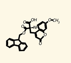 COc1ccc2c(C[C@@](N)(C(=O)O)C(=O)OCC3c4ccccc4-c4ccccc43)cc(=O)oc2c1